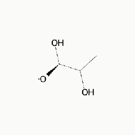 CC(O)[C@@H]([O])O